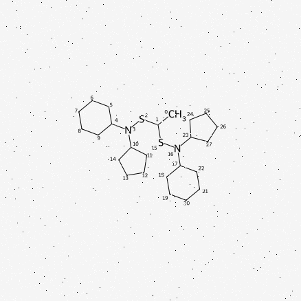 CC(SN(C1CCCCC1)C1CCCC1)SN(C1CCCCC1)C1CCCC1